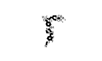 CN(CCC1CCN(C(C)(C)C)CC1)C(=O)c1ccc(Nc2nccn3c(-c4ccc(OCC#N)c(F)c4F)cnc23)cc1Cl